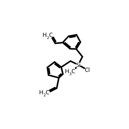 C=Cc1cccc(C[Si](C)(Cl)Cc2cccc(C=C)c2)c1